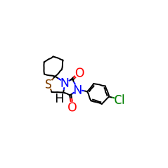 O=C1[C@@H]2CSC3(CCCCC3)N2C(=O)N1c1ccc(Cl)cc1